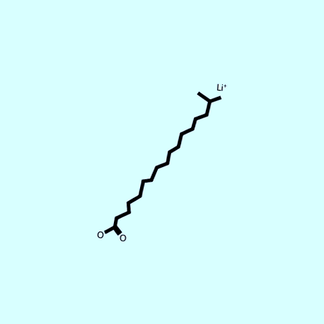 CC(C)CCCCCCCCCCCCCCC(=O)[O-].[Li+]